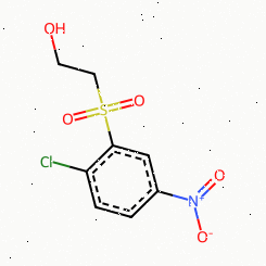 O=[N+]([O-])c1ccc(Cl)c(S(=O)(=O)CCO)c1